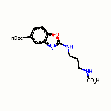 CCCCCCCCCCc1ccc2oc(NCCCNC(=O)O)nc2c1